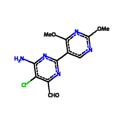 COc1ncc(-c2nc(N)c(Cl)c(C=O)n2)c(OC)n1